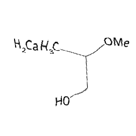 COC(C)CO.[CaH2]